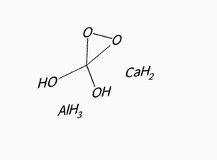 OC1(O)OO1.[AlH3].[CaH2]